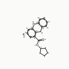 O=C(OC1CCCC1)c1cccc2c1Cc1ccccc1O2.[K]